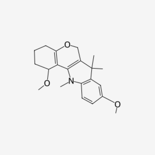 COc1ccc2c(c1)C(C)(C)C1=C(C3=C(CCCC3OC)OC1)N2C